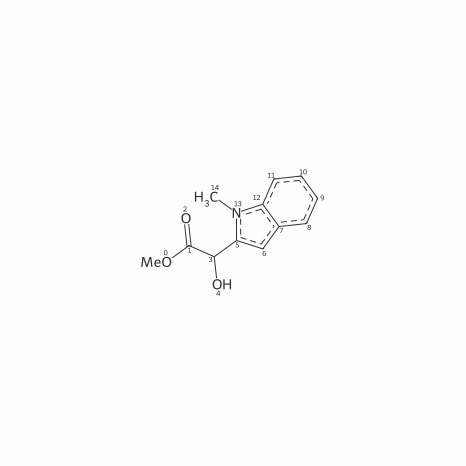 COC(=O)C(O)c1cc2ccccc2n1C